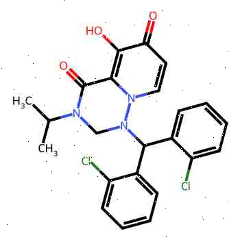 CC(C)N1CN(C(c2ccccc2Cl)c2ccccc2Cl)n2ccc(=O)c(O)c2C1=O